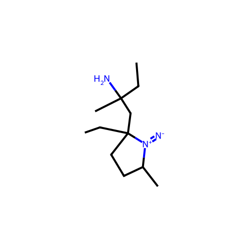 CCC(C)(N)CC1(CC)CCC(C)[N+]1=[N-]